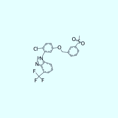 CS(=O)(=O)c1cccc(COc2ccc(Cl)c(-n3cnc4c(C(F)(F)F)cccc43)c2)c1